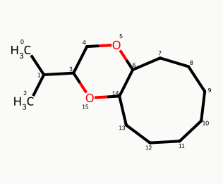 CC(C)C1COC2CCCCCCCC2O1